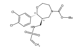 C=CS(=O)(=O)NC[C@@H]1CN(C(=O)OC(C)(C)C)CCO[C@H]1c1ccc(Cl)c(Cl)c1